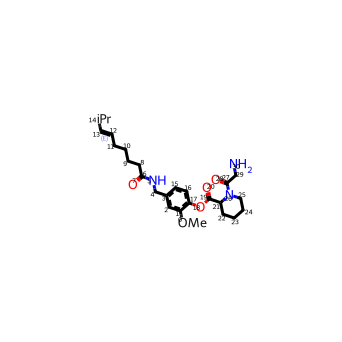 COc1cc(CNC(=O)CCCC/C=C/C(C)C)ccc1OC(=O)C1CCCCN1C(=O)CN